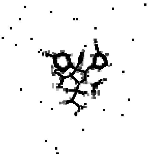 CC(C)[C@@H]1N(C(F)(F)C(=O)OF)[C@@H](C(=O)O)[C@H](c2cccc(Cl)c2)[C@@]1(C#N)c1ccc(Cl)cc1